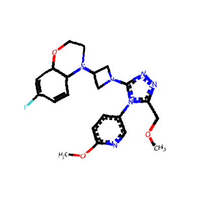 COCc1nnc(N2CC(N3CCOC4C=C(F)C=CC43)C2)n1-c1ccc(OC)nc1